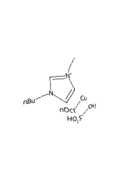 CCCCCCC[CH2][Cu].CCCCn1cc[n+](C)c1.O=S(=O)(O)O